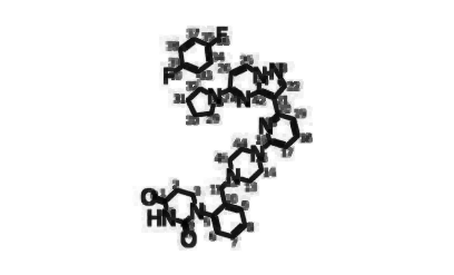 O=C1CCN(c2ccccc2CN2CCN(c3cccc(-c4cnn5ccc(N6CCC[C@@H]6c6cc(F)ccc6F)nc45)n3)CC2)C(=O)N1